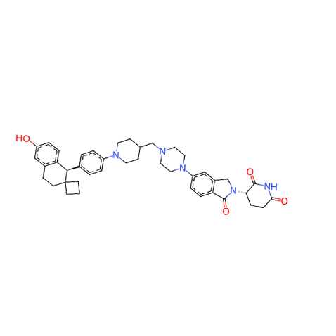 O=C1CC[C@H](N2Cc3cc(N4CCN(CC5CCN(c6ccc([C@@H]7c8ccc(O)cc8CCC78CCC8)cc6)CC5)CC4)ccc3C2=O)C(=O)N1